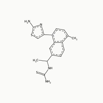 Cc1ccc(-c2csc(N)n2)c2cc(C(C)NC(N)=S)ccc12